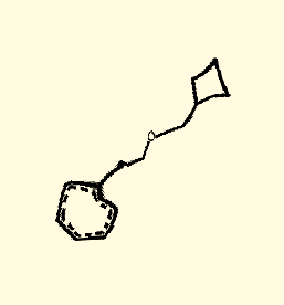 [c]1ccc(CCOCC2CCC2)cc1